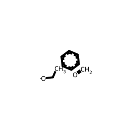 C=O.CC[O].c1ccccc1